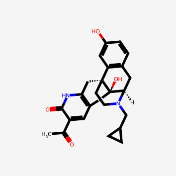 CC(=O)c1cc2c([nH]c1=O)C[C@]13CCN(CC4CC4)[C@H](Cc4ccc(O)cc41)[C@]3(O)C2